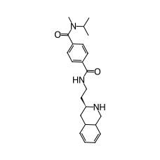 CC(C)N(C)C(=O)c1ccc(C(=O)NCC[C@@H]2CC3C=CC=CC3CN2)cc1